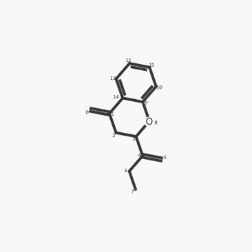 C=C1CC(C(=C)CC)Oc2ccccc21